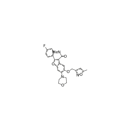 CNC(=O)c1c(-c2ccc(F)cc2)oc2cc(N3CCOCC3)c(OCc3cc(C)on3)cc12